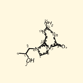 CC(O)Cn1ccn2c(=O)nc(N)nc12